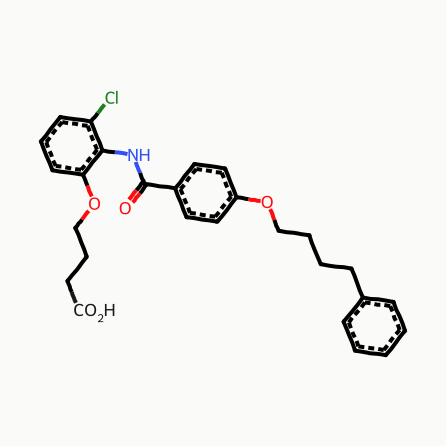 O=C(O)CCCOc1cccc(Cl)c1NC(=O)c1ccc(OCCCCc2ccccc2)cc1